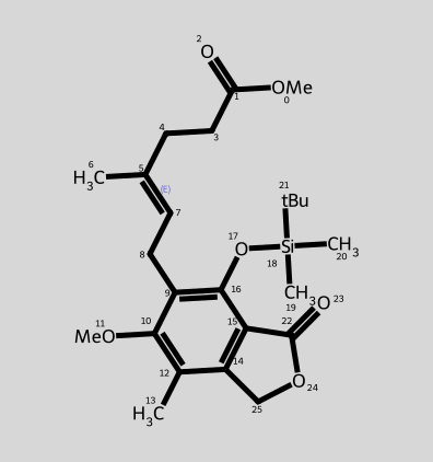 COC(=O)CC/C(C)=C/Cc1c(OC)c(C)c2c(c1O[Si](C)(C)C(C)(C)C)C(=O)OC2